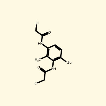 Cc1c(NC(=O)CCl)ccc(C(C)(C)C)c1NC(=O)CCl